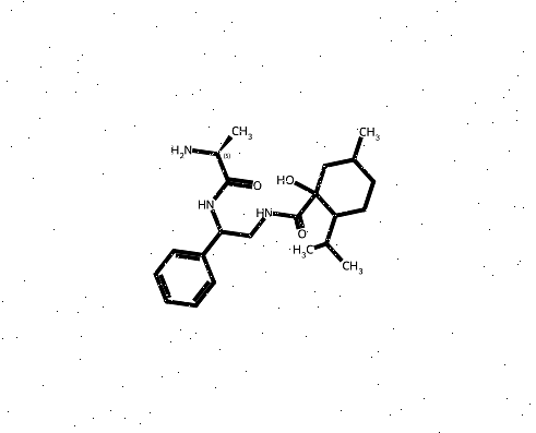 CC1CCC(C(C)C)C(O)(C(=O)NCC(NC(=O)[C@H](C)N)c2ccccc2)C1